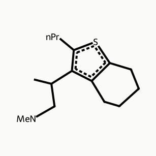 CCCc1sc2c(c1C(C)CNC)CCCC2